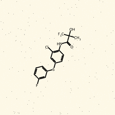 CC(O)(C(=O)Nc1ccc(Sc2cccc(F)c2)cc1Cl)C(F)(F)F